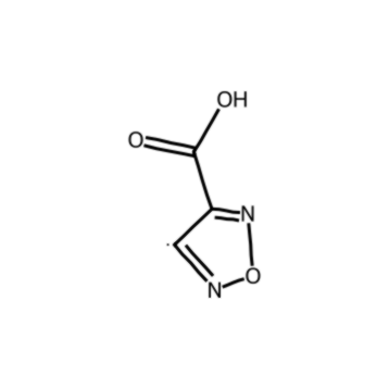 O=C(O)c1[c]non1